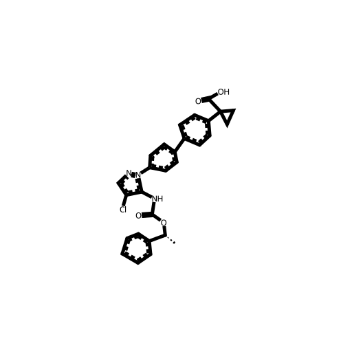 C[C@@H](OC(=O)Nc1c(Cl)cnn1-c1ccc(-c2ccc(C3(C(=O)O)CC3)cc2)cc1)c1ccccc1